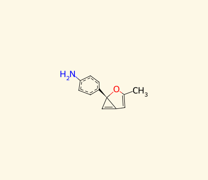 CC1=CC2=C[C@]2(c2ccc(N)cc2)O1